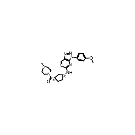 COc1ccc(-n2nnc3cnc(N[C@@H]4CC[C@H](C(=O)N5CCN(C)CC5)C4)nc32)cc1